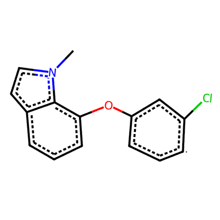 Cn1ccc2cccc(Oc3cc[c]c(Cl)c3)c21